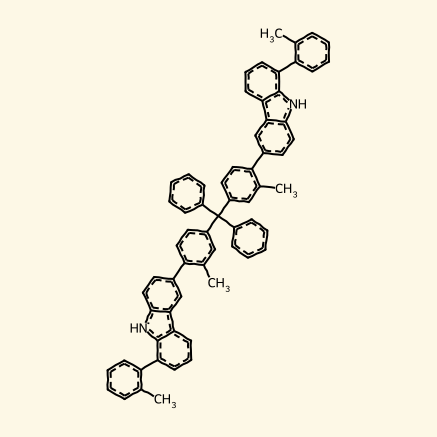 Cc1cc(C(c2ccccc2)(c2ccccc2)c2ccc(-c3ccc4[nH]c5c(-c6ccccc6C)cccc5c4c3)c(C)c2)ccc1-c1ccc2[nH]c3c(-c4ccccc4C)cccc3c2c1